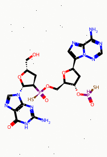 Nc1nc2c(ncn2[C@@H]2O[C@H](CO)C[C@H]2[P@](=O)(S)OC[C@H]2O[C@@H](c3cnc4c(N)ncnn34)C[C@@H]2O[PH](=O)S)c(=O)[nH]1